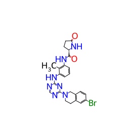 Cc1c(NC(=O)[C@H]2CCC(=O)N2)cccc1Nc1ncnc(N2CCc3cc(Br)ccc3C2)n1